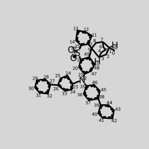 C[C@@H]1C[C@H]2CCCC1CC21c2ccccc2S(=O)(=O)c2cc(N(c3ccc(-c4ccccc4)cc3)c3ccc(-c4ccccc4)cc3)ccc21